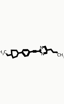 CCCCc1cnc(C#Cc2ccc(C3CCC(CC)CC3)cc2)nc1